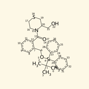 CC(C)(C)[Si](OCc1ccccc1C(=O)N1CCSCC1CO)(c1ccccc1)c1ccccc1